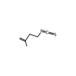 C=C(C)CCN=C=S